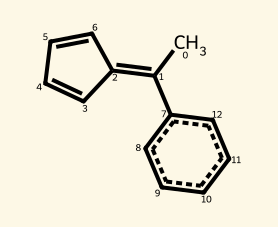 CC(=C1C=CC=C1)c1ccccc1